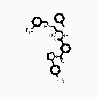 Cc1ccc(C2CCCN2C(=O)c2cccc(C(=O)N[C@@H](Cc3ccccc3)[C@@H](O)CNCc3cccc(C(F)(F)F)c3)c2)cc1